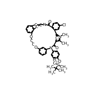 Cc1c2cc(n1C)-c1cc(Cl)ccc1C(=O)N1CCc3c(cccc3OCCOc3cccc(c3)N(c3ccc(O[Si](C)(C)C(C)(C)C)cc3)C2=O)C1